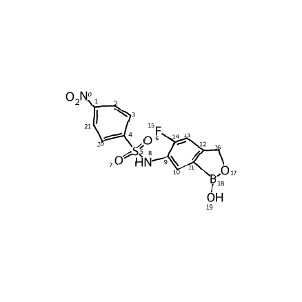 O=[N+]([O-])c1ccc(S(=O)(=O)Nc2cc3c(cc2F)COB3O)cc1